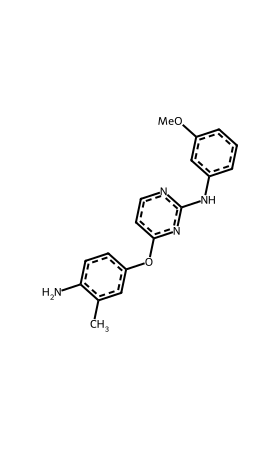 COc1cccc(Nc2nccc(Oc3ccc(N)c(C)c3)n2)c1